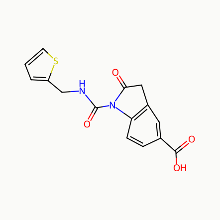 O=C(O)c1ccc2c(c1)CC(=O)N2C(=O)NCc1cccs1